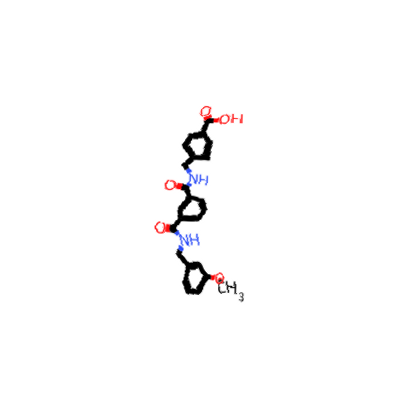 COc1cccc(CNC(=O)c2cccc(C(=O)NCc3ccc(C(=O)O)cc3)c2)c1